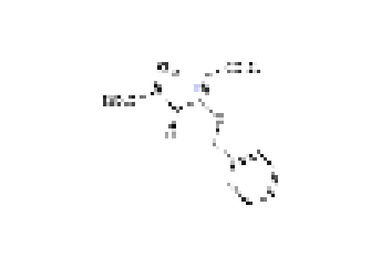 C=C(C(=O)OCC)C(=O)/C(=C/C(=O)OCC)OCc1ccccc1